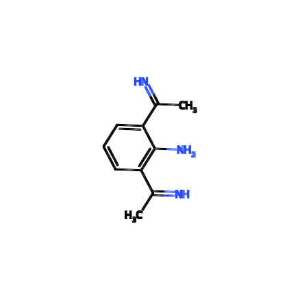 CC(=N)c1cccc(C(C)=N)c1N